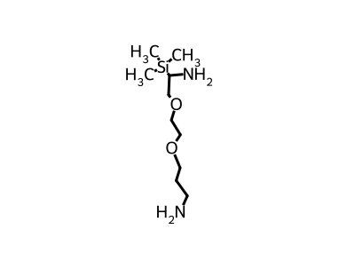 C[Si](C)(C)C(N)COCCOCCCN